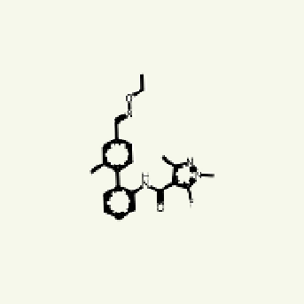 CCO/N=C/c1ccc(-c2ccccc2NC(=O)c2c(C)nn(C)c2F)c(C)c1